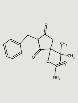 CC(C)(C)C1(OC(N)=O)CC(=O)N(Cc2ccccc2)C1=O